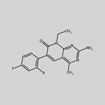 CCn1c(=O)c(-c2ccc(F)cc2F)cc2c(C)nc(N)nc21